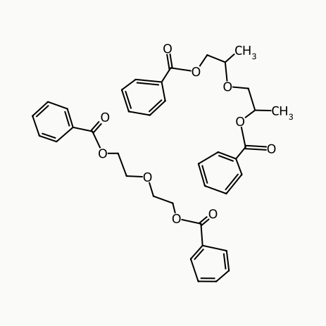 CC(COC(=O)c1ccccc1)OCC(C)OC(=O)c1ccccc1.O=C(OCCOCCOC(=O)c1ccccc1)c1ccccc1